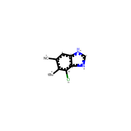 CC(C)(C)c1c(C#N)cc2[nH]cnc2c1Cl